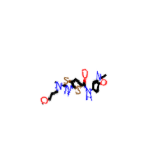 COCCCN(C)c1nc2sc(C(=O)Nc3ccc4oc(C)nc4c3)cc2s1